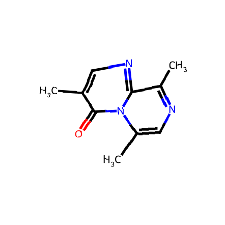 Cc1cnc2c(C)ncc(C)n2c1=O